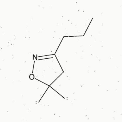 [CH]C1([CH])CC(CCC)=NO1